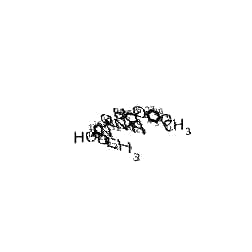 COc1ccc(O[C@H]2C[C@@H]3CN(CC(=O)c4ccc(O)c(OC)n4)C[C@@H]3C2)cc1